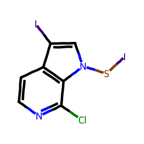 Clc1nccc2c(I)cn(SI)c12